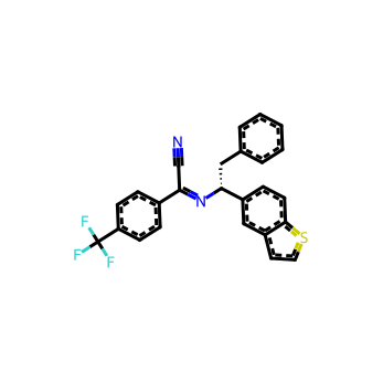 N#C/C(=N\[C@H](Cc1ccccc1)c1ccc2sccc2c1)c1ccc(C(F)(F)F)cc1